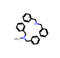 O=C(O)N(Cc1ccccc1)Cc1ccccc1.c1ccc(CNCc2ccccc2)cc1